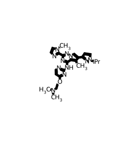 Cc1c(-c2ccn(C(C)C)n2)cn2nc(-c3nccn3C)nc(Nc3nccc(OCCN(C)C)n3)c12